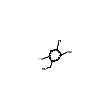 CC(C)(C)c1cc(CO)c(C(C)(C)C)cc1O